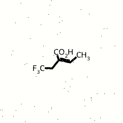 C/C=C(/CC(F)(F)F)C(=O)O